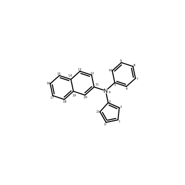 C1=CC=C(N(c2ccccc2)c2ccc3ccccc3c2)C=1